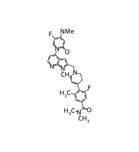 CNc1cc(=O)n(-c2ccnc3c2cc(CN2CC=C(c4c(C)cc(C(=O)N(C)C)cc4F)CC2)n3C)cc1F